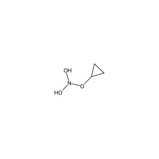 ON(O)OC1CC1